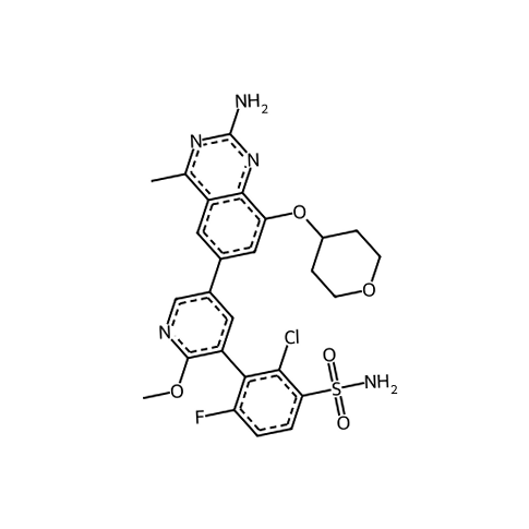 COc1ncc(-c2cc(OC3CCOCC3)c3nc(N)nc(C)c3c2)cc1-c1c(F)ccc(S(N)(=O)=O)c1Cl